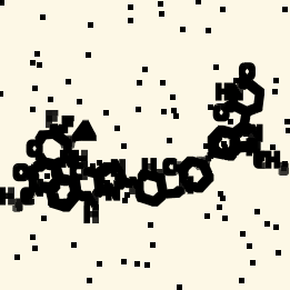 C[C@H]1C[C@H](c2ccc3c(C4CCC(=O)NC4=O)nn(C)c3c2)CCN1CC1CCN(c2ncc(Cl)c(Nc3ccc4c(c3)c3c(c(=O)n4C)OCC(F)(F)[C@H](C4CC4)N3)n2)CC1